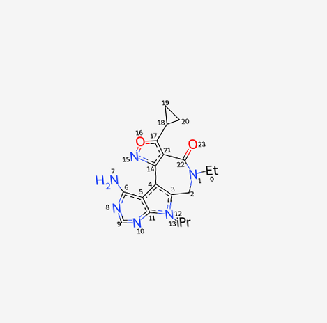 CCN1Cc2c(c3c(N)ncnc3n2C(C)C)-c2noc(C3CC3)c2C1=O